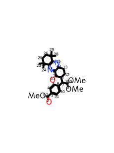 COC(=O)c1ccc(C(C(OC)OC)C2CCc3nc4c(nc3C2=O)C(C)(C)CCC4(C)C)cc1